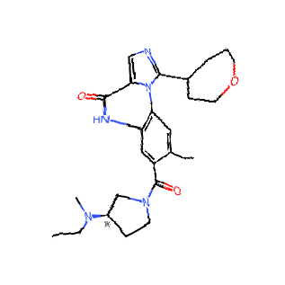 CCN(C)[C@@H]1CCN(C(=O)c2cc3[nH]c(=O)c4cnc(C5CCOCC5)n4c3cc2C)C1